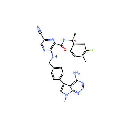 Cc1ccc([C@H](C)NC(=O)c2nc(C#N)cnc2NCc2ccc(-c3cn(C)c4ncnc(N)c34)cc2)cc1F